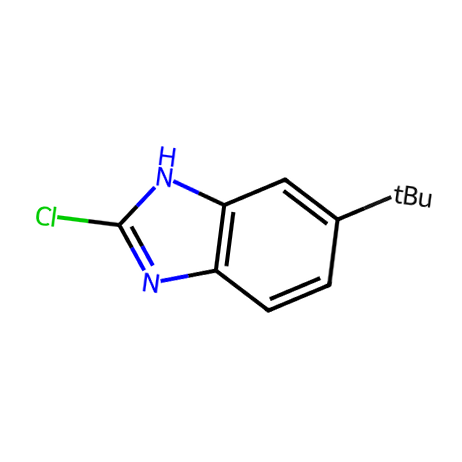 CC(C)(C)c1ccc2nc(Cl)[nH]c2c1